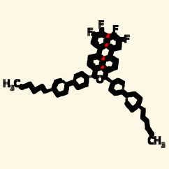 CCCCCC[C@H]1CC[C@H]([C@H]2CC[C@H](C(OC(c3ccc(-c4ccc(F)c(F)c4)cc3)[C@H]3CC[C@H]([C@H]4CC[C@H](CCCCCC)CC4)CC3)c3ccc(-c4ccc(F)c(F)c4)cc3)CC2)CC1